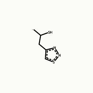 [CH2]C(S)Cc1csnn1